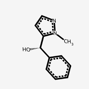 Cn1nccc1[C@@H](O)c1ccccc1